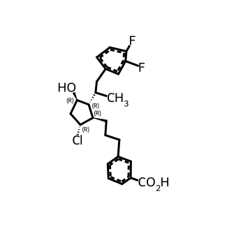 CC(Cc1ccc(F)c(F)c1)[C@@H]1[C@@H](CCCc2cccc(C(=O)O)c2)[C@H](Cl)C[C@H]1O